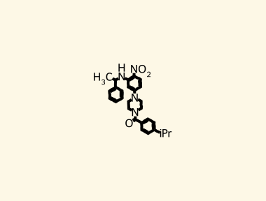 CC(C)c1ccc(C(=O)N2CCN(c3ccc([N+](=O)[O-])c(NC(C)c4ccccc4)c3)CC2)cc1